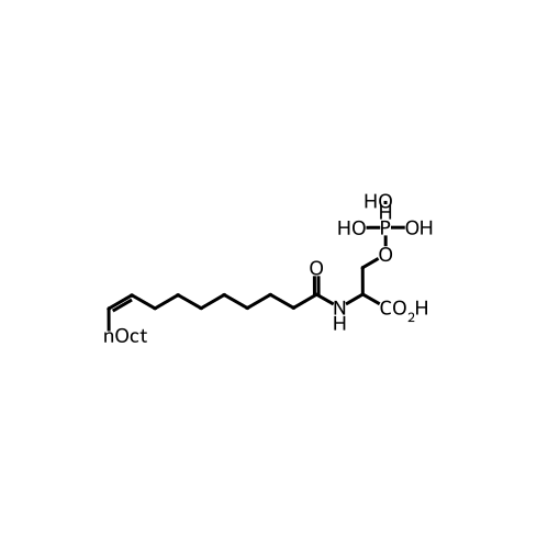 CCCCCCCC/C=C\CCCCCCCC(=O)NC(CO[PH](O)(O)O)C(=O)O